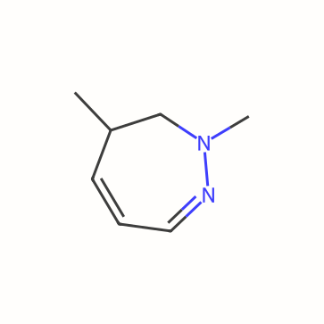 CC1C=CC=NN(C)C1